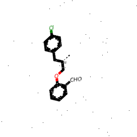 C[C@H](COc1ccccc1C=O)Cc1ccc(Cl)cc1